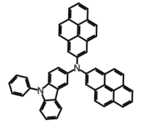 c1ccc(-n2c3ccccc3c3cc(N(c4cc5ccc6cccc7ccc(c4)c5c67)c4cc5ccc6cccc7ccc(c4)c5c67)ccc32)cc1